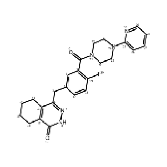 O=C(c1cc(Cc2n[nH]c(=O)c3c2CCCC3)ccc1F)N1CCN(c2ccccn2)CC1